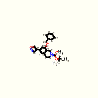 CC(C)(C)OC(=O)N1CCc2cc(-c3cnoc3)cc(OCc3ccccc3)c2C1